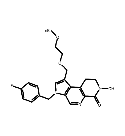 CCCCOCCOCc1cn(Cc2ccc(F)cc2)c2cnc3c(c12)CCN(O)C3=O